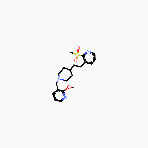 COc1ncccc1CN1CCC(CCc2cccnc2S(C)(=O)=O)CC1